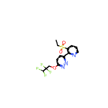 CCS(=O)(=O)c1cccnc1-c1ccc(OCC(F)(F)C(F)F)nn1